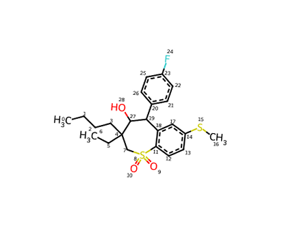 CCCCC1(CC)CS(=O)(=O)c2ccc(SC)cc2C(c2ccc(F)cc2)C1O